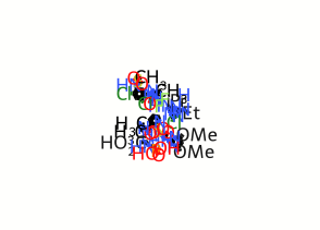 CCNc1nc(Cl)nc(NC(C)C)n1.COc1cc(OC)nc(NC(=O)NS(=O)(=O)c2ncccc2C(=O)N(C)C)n1.Cc1nn(-c2cc(NS(C)(=O)=O)c(Cl)cc2Cl)c(=O)n1C(F)F.O=C(O)CNCP(=O)(O)O